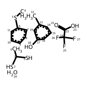 CC(S)S.CSc1ccccc1.Cc1cccc(O)c1.O.O=C(O)C(F)(F)F